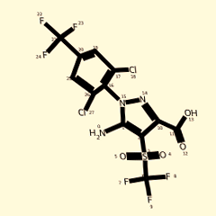 Nc1c(S(=O)(=O)C(F)(F)F)c(C(=O)O)nn1-c1c(Cl)cc(C(F)(F)F)cc1Cl